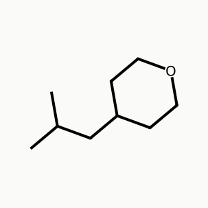 CC(C)CC1CCOCC1